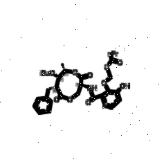 CCCC(=O)OCOc1c(O)ccnc1C(=O)N[C@H]1COC(=O)[C@H](Cc2ccccc2)[C@@H](OCC(C)C)[C@H](C)OC1=O